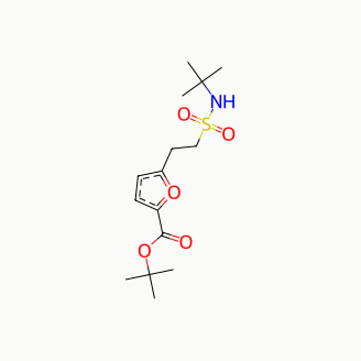 CC(C)(C)NS(=O)(=O)CCc1ccc(C(=O)OC(C)(C)C)o1